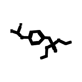 CCOP(=O)(Cc1ccc(OC(F)F)cc1)OCC